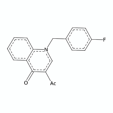 CC(=O)c1cn(Cc2ccc(F)cc2)c2ccccc2c1=O